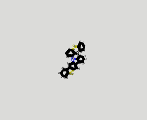 c1ccc2c(c1)Sc1cccc3c1B2c1cccc2c4cc5sc6ccccc6c5cc4n-3c12